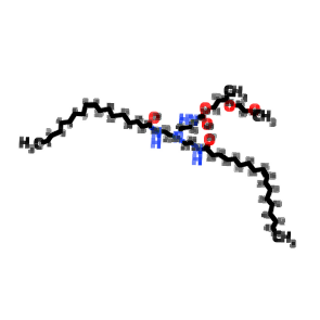 CCCCCCCC/C=C\CCCCCCCC(=O)NCCN(CCNC(=O)CCCCCCC/C=C\CCCCCCCC)CCNC(=O)OCCC(C)OCCOC